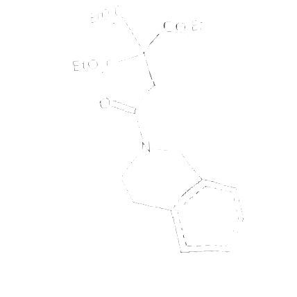 CCOC(=O)C(CC(=O)N1CCc2ccccc2C1)(C(=O)OCC)C(=O)OCC